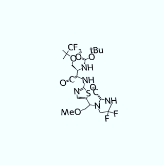 COCC(c1cnc(NC(=C=O)[C@@H](COC(C)(C)C(F)(F)F)NC(=O)OC(C)(C)C)s1)N1CC(F)(F)CNC1=C=O